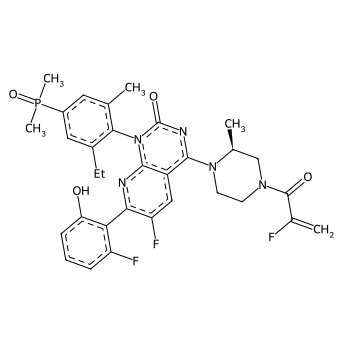 C=C(F)C(=O)N1CCN(c2nc(=O)n(-c3c(C)cc(P(C)(C)=O)cc3CC)c3nc(-c4c(O)cccc4F)c(F)cc23)[C@@H](C)C1